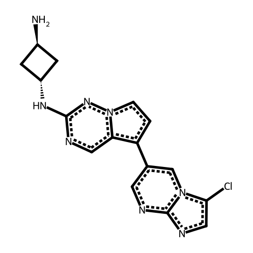 N[C@H]1C[C@H](Nc2ncc3c(-c4cnc5ncc(Cl)n5c4)ccn3n2)C1